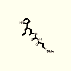 C=C/C=C(\C=C(/C)NC(=S)NC(=O)/C=C/COC)c1ccc[nH]1